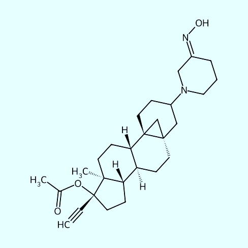 C#C[C@]1(OC(C)=O)CC[C@H]2[C@@H]3CC[C@]45CC(N6CCCC(=NO)C6)CC[C@]4(C5)[C@H]3CC[C@@]21C